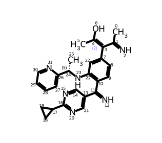 CC(=N)/C(=C(/C)O)c1ccc(C(=N)c2cnc(C3CC3)nc2)c(N[C@@H](C)c2ccccn2)c1